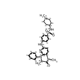 C[C@@H]1C(=O)N(C)c2ccc(Nc3ccc(S(=O)(=O)NC4CCN(C)CC4)cc3)nc2N1c1ccccc1